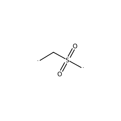 [CH2]CS([CH2])(=O)=O